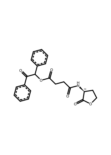 O=C(CCC(=O)OC(C(=O)c1ccccc1)c1ccccc1)N[C@H]1CCOC1=O